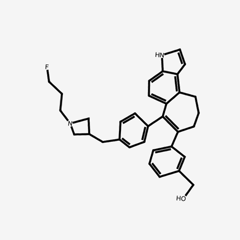 OCc1cccc(C2=C(c3ccc(CC4CN(CCCF)C4)cc3)c3ccc4[nH]ccc4c3CCC2)c1